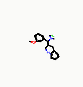 COc1cccc(C(C(CN)Cc2ccccc2)N(C)C)c1.Cl